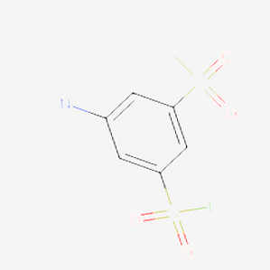 Nc1cc(S(=O)(=O)F)cc(S(=O)(=O)F)c1